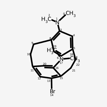 CN(C)c1cc2ccc1CCc1cc(Br)c(c(N(C)C)c1)CC2